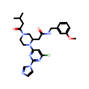 COc1cccc(CNC(=O)CC2CN(C(=O)CC(C)C)CCN2c2cc(Cl)nc(-n3ccnc3)n2)c1